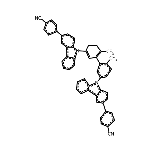 N#Cc1ccc(-c2ccc3c(c2)c2ccccc2n3C2=CC(c3cc(-n4c5ccccc5c5cc(-c6ccc(C#N)cc6)ccc54)ccc3C(F)(F)F)=C(C(F)(F)F)CC2)cc1